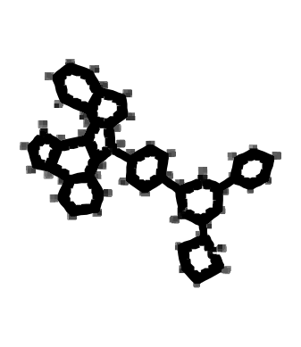 c1ccc(-c2cc(-c3ccccc3)nc(-c3ccc(-n4c5ccc6ccccc6c5c5c6sccc6c6ccccc6c54)cc3)n2)cc1